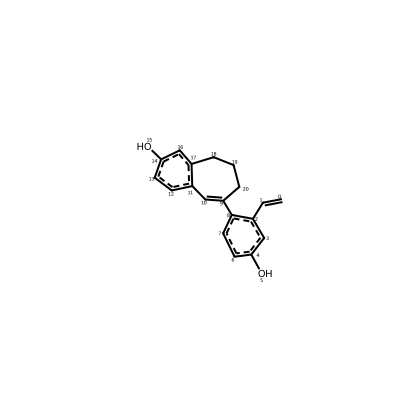 C=Cc1cc(O)ccc1C1=Cc2ccc(O)cc2CCC1